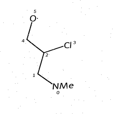 CNCC(Cl)C[O]